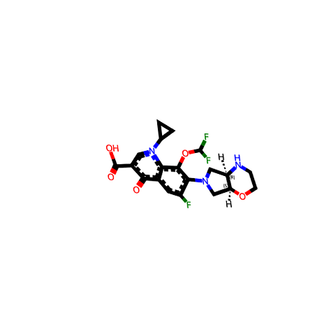 O=C(O)c1cn(C2CC2)c2c(OC(F)F)c(N3C[C@@H]4OCCN[C@@H]4C3)c(F)cc2c1=O